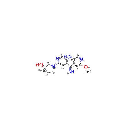 CC(C)Oc1cc(C(=N)c2ccnc(N3CCC(C)(O)C3)c2)c(N)cn1